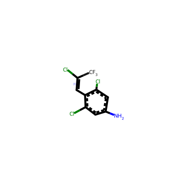 Nc1cc(Cl)c(/C=C(/Cl)C(F)(F)F)c(Cl)c1